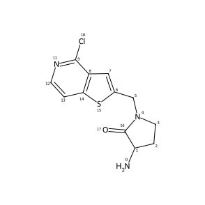 NC1CCN(Cc2cc3c(Cl)nccc3s2)C1=O